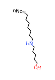 CCCCCCCCCCCCCCCCNCCCCCO